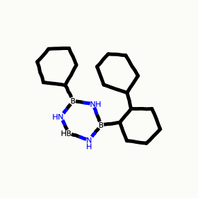 B1NB(C2CCCCC2)NB(C2CCCCC2C2CCCCC2)N1